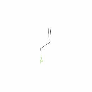 C=CCF